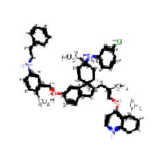 C[C@@H](COc1ccnc2c1[C@H](C)CCC2)C[C@H]1Cc2ccc(OCc3cc(NCCc4ccccc4)ccc3C(=O)O)cc2C12CCC(Nc1cccc(Cl)c1)(C(=O)O)CC2